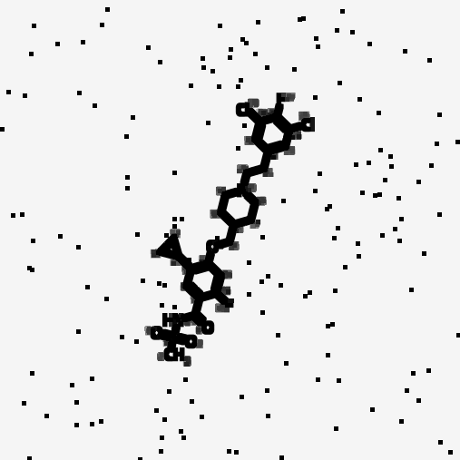 CS(=O)(=O)NC(=O)c1cc(C2CC2)c(OCC2CCN(CCc3cc(Cl)c(F)c(Cl)c3)CC2)cc1F